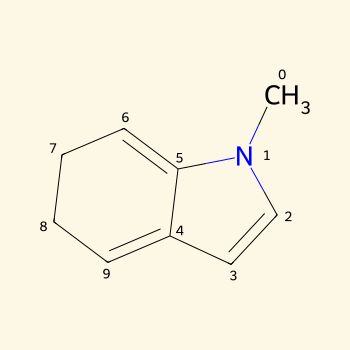 Cn1ccc2c1=CCCC=2